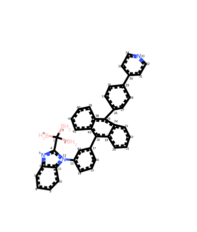 BC(B)(B)c1nc2ccccc2n1-c1cccc(-c2c3ccccc3c(-c3ccc(-c4ccncc4)cc3)c3ccccc23)c1